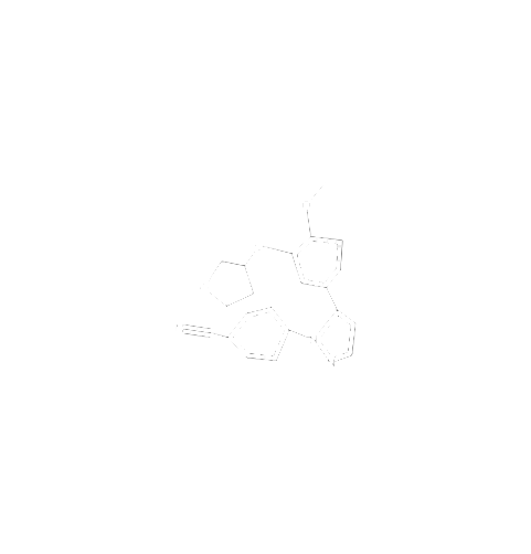 COc1ccc(-c2ccnn2-c2ccc(C#N)cc2)cc1OC1CCOC1